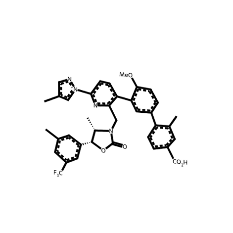 COc1ccc(-c2ccc(C(=O)O)cc2C)cc1-c1ccc(-n2cc(C)cn2)nc1CN1C(=O)O[C@H](c2cc(C)cc(C(F)(F)F)c2)[C@@H]1C